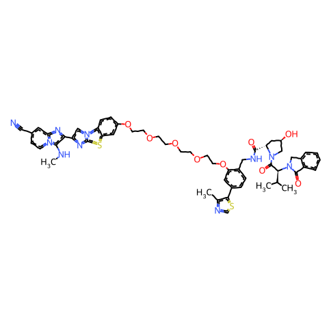 CNc1c(-c2cn3c(n2)sc2cc(OCCOCCOCCOCCOc4cc(-c5scnc5C)ccc4CNC(=O)[C@@H]4C[C@@H](O)CN4C(=O)[C@H](C(C)C)N4Cc5ccccc5C4=O)ccc23)nc2cc(C#N)ccn12